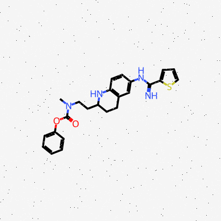 CN(CCC1CCc2cc(NC(=N)c3cccs3)ccc2N1)C(=O)Oc1ccccc1